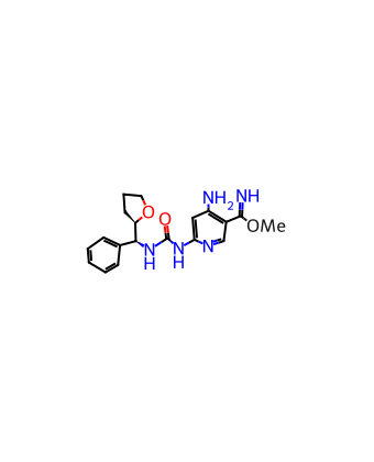 COC(=N)c1cnc(NC(=O)N[C@@H](c2ccccc2)[C@H]2CCCO2)cc1N